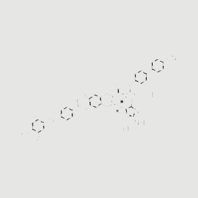 CCCNc1nc(C)c(S(=O)(=O)N2Cc3cc4c(cc3CC2C(=O)NC(Cc2ccc(-c3ccc(C#N)cc3)cc2)C(=O)O)OCC(c2ccc(OCc3ccc(Cl)c(Cl)c3)cc2)O4)s1